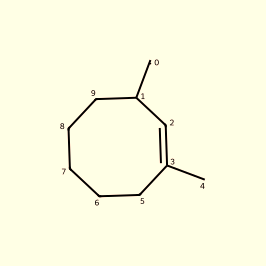 [CH2]C1/C=C(/C)CCCCC1